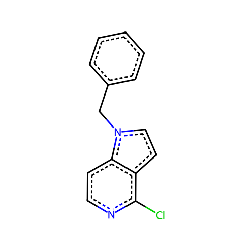 Clc1nccc2c1ccn2Cc1ccccc1